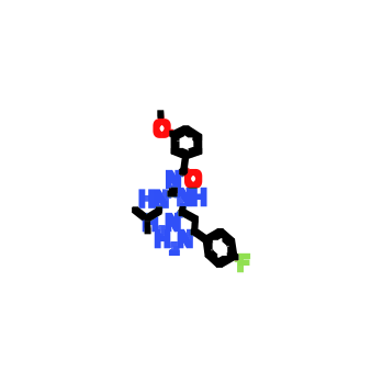 COc1cccc(C(=O)/N=C(/NCC(C)C)NC(N)CC(N)c2ccc(F)cc2)c1